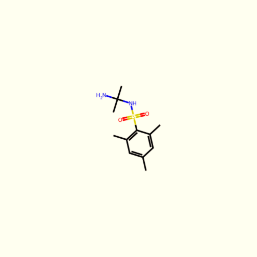 Cc1cc(C)c(S(=O)(=O)NC(C)(C)N)c(C)c1